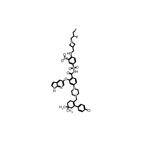 CC1(C)CCC(CN2CCN(c3ccc(C(=O)NS(=O)(=O)c4ccc(NCC5CN(C[C@H](F)CF)C5)c([N+](=O)[O-])c4)c(Oc4cnc5[nH]ccc5c4)c3)CC2)=C(c2ccc(Cl)cc2)C1